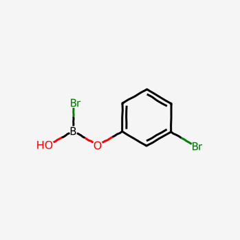 OB(Br)Oc1cccc(Br)c1